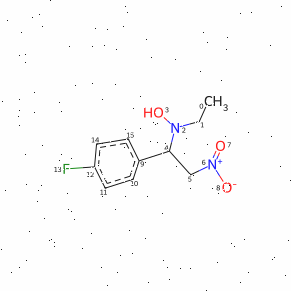 CCN(O)C(C[N+](=O)[O-])c1ccc(F)cc1